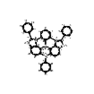 c1ccc(-c2nc3ccc4c5c3n2-c2cccc3c2B5c2c(ccc5nc(-c6ccccc6)n-3c25)N4c2ccccc2)cc1